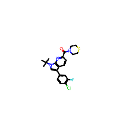 CC(C)(C)n1cc(-c2ccc(Cl)c(F)c2)c2ccc(C(=O)N3CCSCC3)nc21